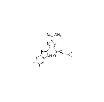 Cc1cc2nc(-c3nn(C(N)=O)cc3C(=O)OCC3CC3)[nH]c2cc1C